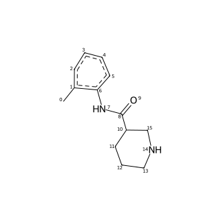 Cc1ccccc1NC(=O)C1CCCNC1